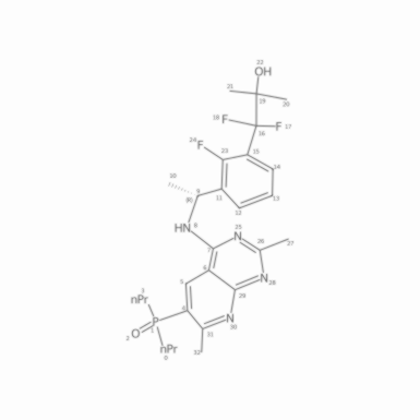 CCCP(=O)(CCC)c1cc2c(N[C@H](C)c3cccc(C(F)(F)C(C)(C)O)c3F)nc(C)nc2nc1C